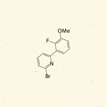 COc1cccc(-c2cccc(Br)n2)c1F